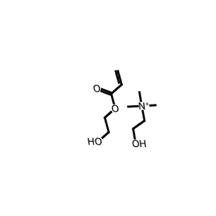 C=CC(=O)OCCO.C[N+](C)(C)CCO